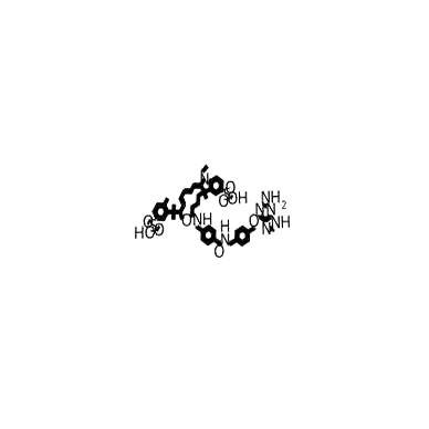 CCN1/C(=C/C=C/C=C/C(C)C(C)(C)c2cc(S(=O)(=O)O)ccc2C)C(C)(CCCC(=O)NCc2ccc(C(=O)NCc3ccc(COc4nc(N)nc5[nH]cnc45)cc3)cc2)c2cc(S(=O)(=O)O)ccc21